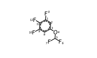 Fc1cc(OC(F)F)cc(F)c1F